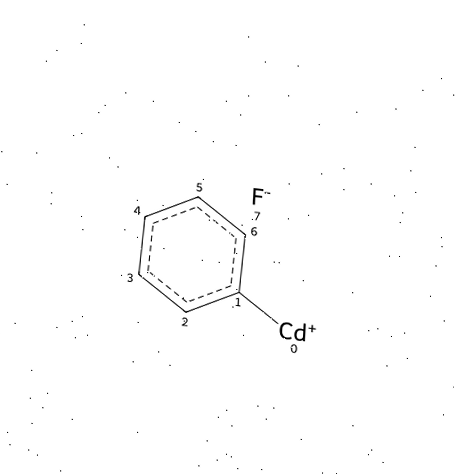 [Cd+][c]1ccccc1.[F-]